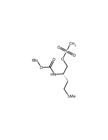 CSCC[C@@H](COS(C)(=O)=O)NC(=O)OC(C)(C)C